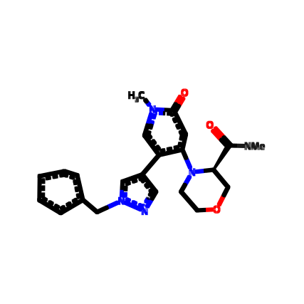 CNC(=O)[C@H]1COCCN1c1cc(=O)n(C)cc1-c1cnn(Cc2ccccc2)c1